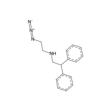 [N-]=[N+]=NCCNCC(c1ccccc1)c1ccccc1